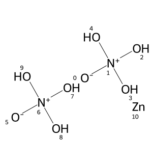 [O-][N+](O)(O)O.[O-][N+](O)(O)O.[Zn]